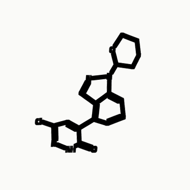 O=c1[nH]nc(Cl)cc1-c1cccc2c1cnn2C1CCCCO1